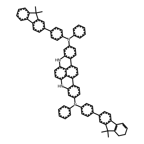 CC1(C)C2=C(C=CCC2)c2ccc(-c3ccc(N(c4ccccc4)c4ccc5c(c4)Nc4ccc6c7c(ccc-5c47)-c4ccc(N(c5ccccc5)c5ccc(-c7ccc8c(c7)C(C)(C)c7ccccc7-8)cc5)cc4N6)cc3)cc21